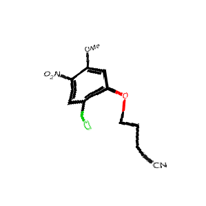 COc1cc(OCCCC#N)c(Cl)cc1[N+](=O)[O-]